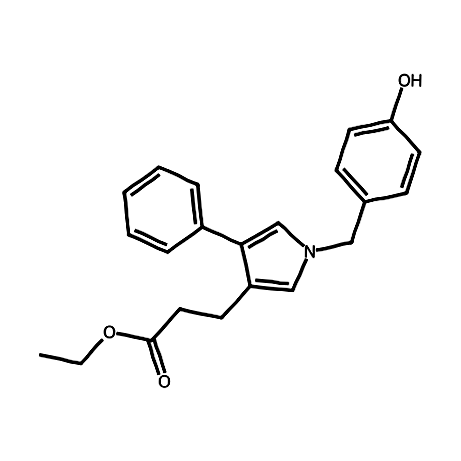 CCOC(=O)CCc1cn(Cc2ccc(O)cc2)cc1-c1ccccc1